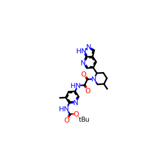 Cc1cc(NC(=O)C(=O)N2CC(C)CCC2c2cnc3[nH]ncc3c2)cnc1NC(=O)OC(C)(C)C